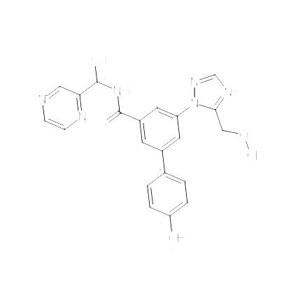 COCc1ncnn1-c1cc(C(=O)NC(C)c2cnccn2)cc(-c2ccc(C)cc2)c1